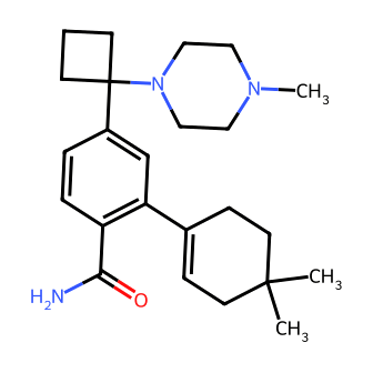 CN1CCN(C2(c3ccc(C(N)=O)c(C4=CCC(C)(C)CC4)c3)CCC2)CC1